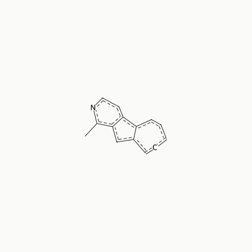 Cc1nccc2c3cccccc-3cc12